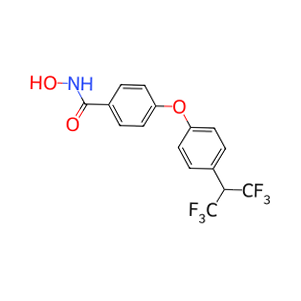 O=C(NO)c1ccc(Oc2ccc(C(C(F)(F)F)C(F)(F)F)cc2)cc1